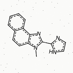 Cn1c(-c2ncc[nH]2)nc2c3ccccc3ccc21